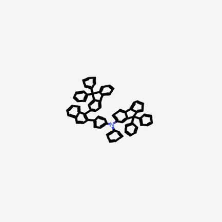 c1ccc(N(c2ccc(-c3ccc4ccccc4c3-c3ccc4c(c3)C(c3ccccc3)(c3ccccc3)c3ccccc3-4)cc2)c2ccc3c(c2)C(c2ccccc2)(c2ccccc2)c2ccccc2-3)cc1